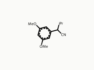 COc1cc(OC)cc(C(C#N)C(C)C)c1